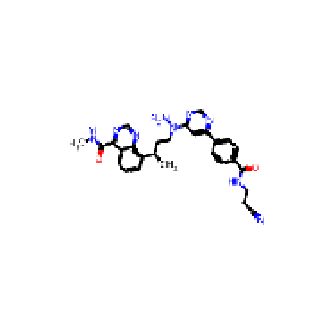 CNC(=O)c1ncnc2c(C(C)CCN(N)c3cc(-c4ccc(C(=O)NCCC#N)cc4)ncn3)cccc12